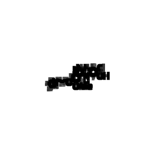 COc1cc2c(Nc3cc(O)c(Cl)cc3F)cnnc2cc1OCCCN1CCCC1